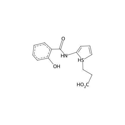 O=C(O)CC[SH]1C=CC=C1NC(=O)c1ccccc1O